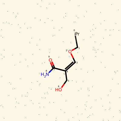 CC(C)COC=C(CO)C(N)=O